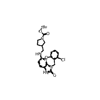 CC(C)(C)OC(=O)N1CCC(CNc2ccc3[nH]c(=O)n(Cc4c(Cl)cccc4Cl)c3n2)C1